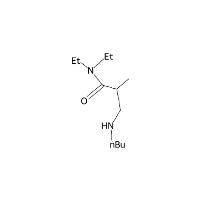 CCCCNCC(C)C(=O)N(CC)CC